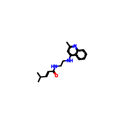 Cc1cc(NCCNC(=O)C=CC(C)C)c2ccccc2n1